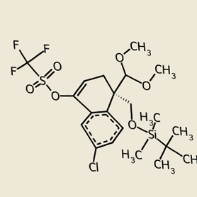 COC(OC)[C@]1(CO[Si](C)(C)C(C)(C)C)CC=C(OS(=O)(=O)C(F)(F)F)c2cc(Cl)ccc21